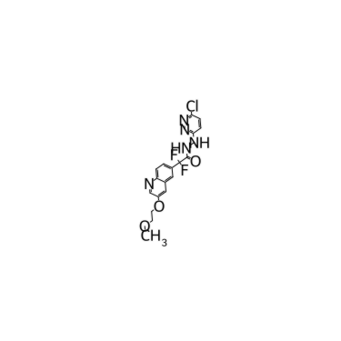 COCCOc1cnc2ccc(C(F)(F)C(=O)NNc3ccc(Cl)nn3)cc2c1